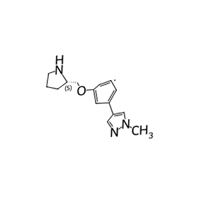 Cn1cc(-c2c[c]cc(OC[C@@H]3CCCN3)c2)cn1